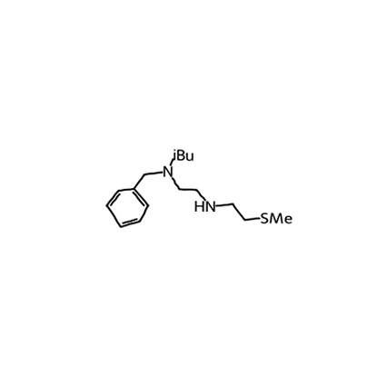 CCC(C)N(CCNCCSC)Cc1ccccc1